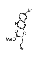 COC(=O)C(CCBr)Oc1cnc2ccc(Br)cc2c1